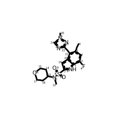 Cc1cc(F)c2[nH]c(S(=O)(=O)N(C)C3CCOCC3)cc2c1-c1ncn(C)n1